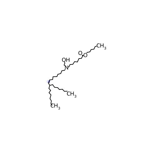 CCCCCCCCC(/C=C\CCCCCCCN(CCO)CCCCCCCC(=O)OCCCCCC)CCCCCCCC